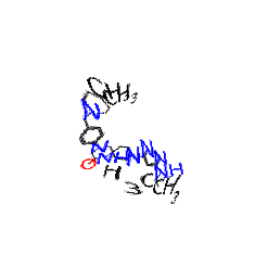 CC(C)Nc1cc(N2CCC3(CC2)CN(c2ccc(CN4CCC(C)(C)CC4)cc2)CC(=O)N3)ncn1